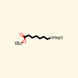 CCCCCCCCCCCCCC(=O)OC(C)(C)C